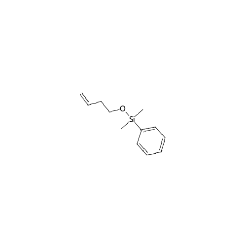 C=CCCO[Si](C)(C)c1ccccc1